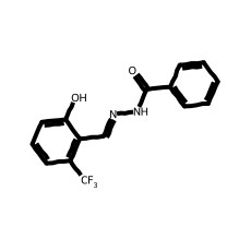 O=C(N/N=C/c1c(O)cccc1C(F)(F)F)c1ccccc1